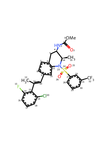 COC(=O)N[C@@H]1Cc2ccc(/C=C(\C)c3c(F)cccc3Cl)cc2N(S(=O)(=O)c2cccc(C(F)(F)F)c2)[C@@H]1C